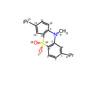 CC(C)c1ccc2c(c1)N(C)c1ccc(C(C)C)cc1S2(=O)=O